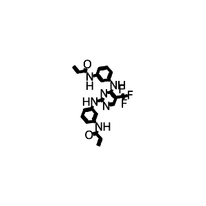 C=CC(=O)Nc1cccc(Nc2ncc(C(F)(F)F)c(Nc3cccc(NC(=O)C=C)c3)n2)c1